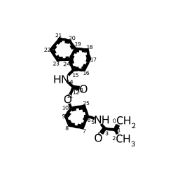 C=C(C)C(=O)Nc1cccc(OC(=O)Nc2cccc3ccccc23)c1